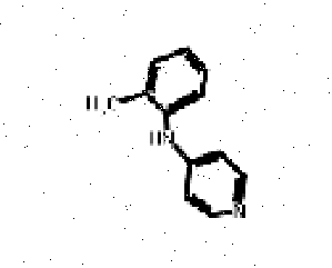 Cc1ccccc1Nc1ccncc1